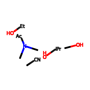 CC#N.CC(=O)N(C)C.CC(C)O.CCO.CO